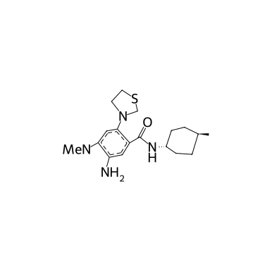 CNc1cc(N2CCSC2)c(C(=O)N[C@H]2CC[C@H](C)CC2)cc1N